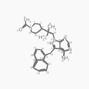 CC(=O)N1CCC(C(C)(C)Cn2nc(Cc3cccc4ccccc34)c3c(N)ncnc32)CC1